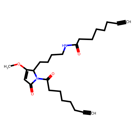 C#CCCCCCC(=O)NCCCCC1C(OC)=CC(=O)N1C(=O)CCCCCC#C